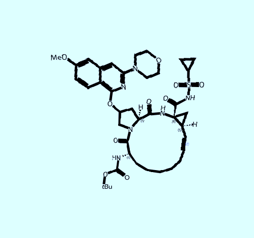 COc1ccc2c(OC3C[C@H]4C(=O)N[C@]5(C(=O)NS(=O)(=O)C6CC6)C[C@H]5/C=C\CCCCC[C@H](NC(=O)OC(C)(C)C)C(=O)N4C3)nc(N3CCOCC3)cc2c1